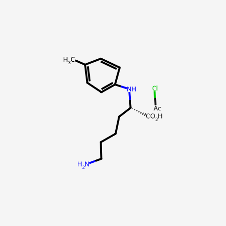 CC(=O)Cl.Cc1ccc(N[C@@H](CCCCN)C(=O)O)cc1